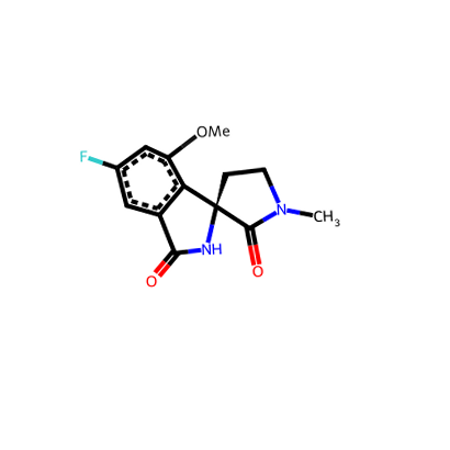 COc1cc(F)cc2c1[C@@]1(CCN(C)C1=O)NC2=O